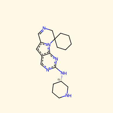 C1=NCC2(CCCCC2)n2c1cc1cnc(N[C@H]3CCCNC3)nc12